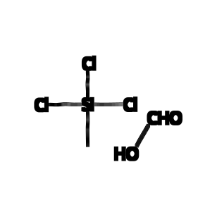 C[Si](Cl)(Cl)Cl.O=CO